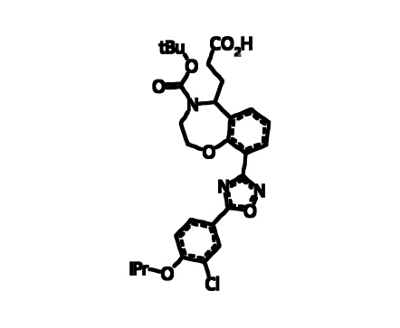 CC(C)Oc1ccc(-c2nc(-c3cccc4c3OCCN(C(=O)OC(C)(C)C)C4CCC(=O)O)no2)cc1Cl